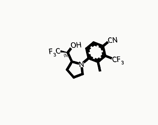 Cc1c(N2CCCC2[C@H](O)C(F)(F)F)ccc(C#N)c1C(F)(F)F